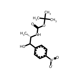 C[C@H](NC(=O)OC(C)(C)C)C(O)c1ccc([N+](=O)[O-])cc1